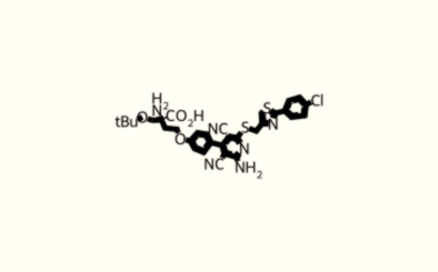 CC(C)(C)OC[C@@](N)(CCOc1ccc(-c2c(C#N)c(N)nc(SCc3csc(-c4ccc(Cl)cc4)n3)c2C#N)cc1)C(=O)O